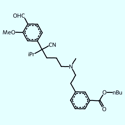 CCCCOC(=O)c1cccc(CCN(C)CCCC(C#N)(c2ccc(C=O)c(OC)c2)C(C)C)c1